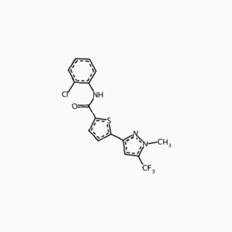 Cn1nc(-c2ccc(C(=O)Nc3ccccc3Cl)s2)cc1C(F)(F)F